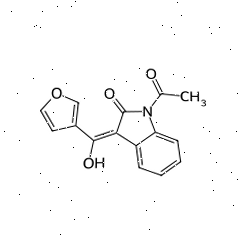 CC(=O)N1C(=O)C(=C(O)c2ccoc2)c2ccccc21